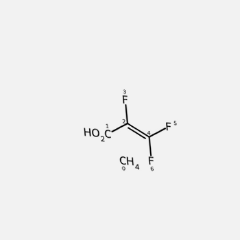 C.O=C(O)C(F)=C(F)F